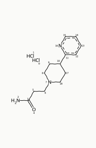 Cl.Cl.NC(=O)CCN1CCC(c2ccccn2)CC1